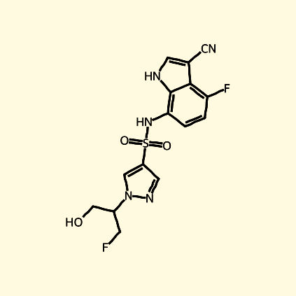 N#Cc1c[nH]c2c(NS(=O)(=O)c3cnn(C(CO)CF)c3)ccc(F)c12